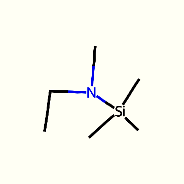 CCN(C)[Si](C)(C)C